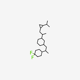 CC(C)C1CC1CC(C)C1CCCC(CC(C)C2CCC(F)(F)CC2)C1